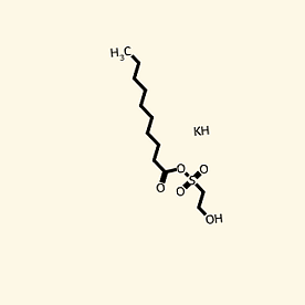 CCCCCCCCCC(=O)OS(=O)(=O)CCO.[KH]